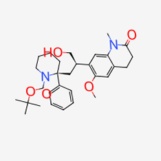 COc1cc2c(cc1[C@H](CO)C[C@]1(c3ccccc3)CCCCN1C(=O)OC(C)(C)C)N(C)C(=O)CC2